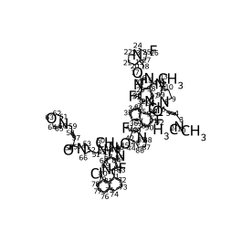 CN(C)CC#CC(=O)N1CC[C@@H](N(C)c2nc(OCC34CCCN3C[C@H](F)C4)nc3c(F)c(-c4cccc5c(C6[C@H](F)C[C@]7(COc8nc(N(C)CC9CN(C(=O)C#CCN%10CCOCC%10)C9)c9cnc(-c%10cccc%11cccc(Cl)c%10%11)c(F)c9n8)CCCN67)cc(F)c(Cl)c45)ncc23)C1